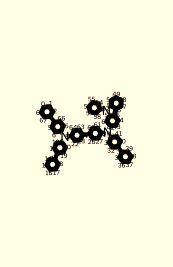 c1ccc(-c2ccc(N(c3ccc(-c4ccccc4)cc3)c3ccc(-c4ccc(N(c5ccc(-c6ccccc6)cc5)c5ccc6c7ccccc7n(-c7ccccc7)c6c5)cc4)cc3)cc2)cc1